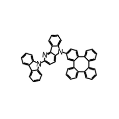 c1ccc2c(c1)-c1ccccc1-c1ccc(-n3c4ccccc4c4nc(-n5c6ccccc6c6ccccc65)ccc43)cc1-c1ccccc1-2